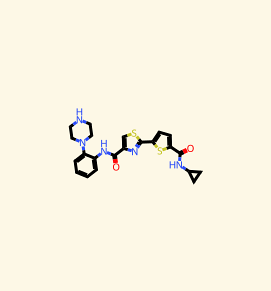 O=C(Nc1ccccc1N1CCNCC1)c1csc(-c2ccc(C(=O)NC3CC3)s2)n1